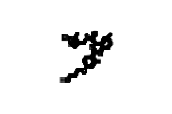 CCn1ncc(CN(C)C(=O)c2nc(-c3ccc(OCCCO)cc3C)nc3ccc(C)cc23)c1C